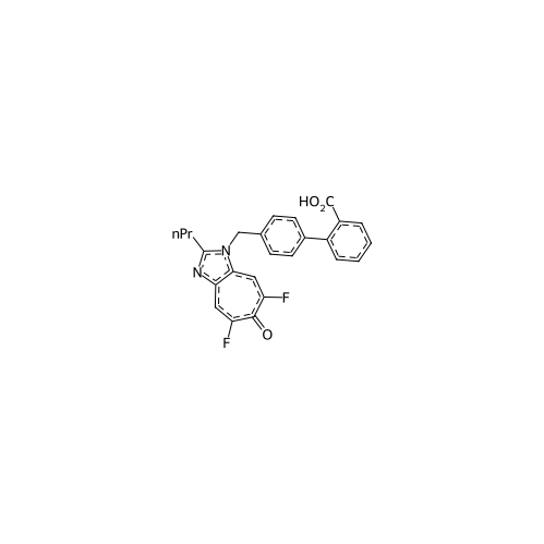 CCCc1nc2cc(F)c(=O)c(F)cc2n1Cc1ccc(-c2ccccc2C(=O)O)cc1